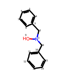 ON(Cc1ccccc1)Cc1ccccc1